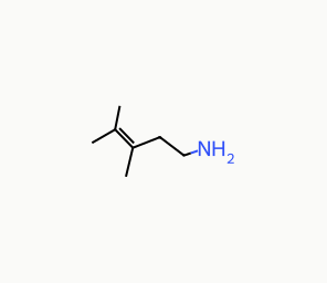 CC(C)=C(C)CCN